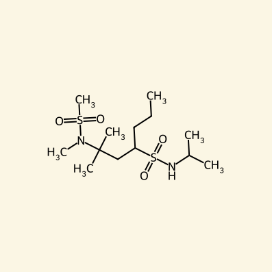 CCCC(CC(C)(C)N(C)S(C)(=O)=O)S(=O)(=O)NC(C)C